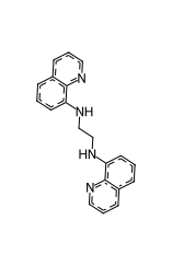 c1cnc2c(NCCNc3cccc4cccnc34)cccc2c1